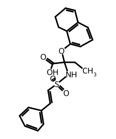 CCC(NS(=O)(=O)C=Cc1ccccc1)(Oc1cccc2c1CCC=C2)C(=O)O